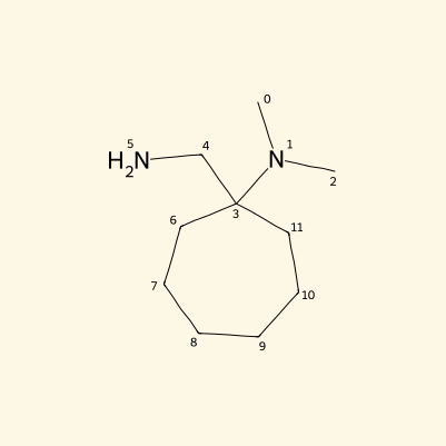 CN(C)C1(CN)CCCCCC1